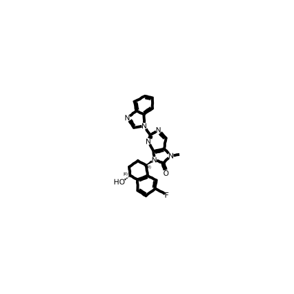 Cn1c(=O)n([C@@H]2CC[C@@H](O)c3ccc(F)cc32)c2nc(-n3cnc4ccccc43)ncc21